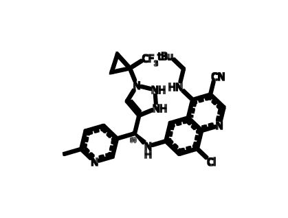 Cc1ccc([C@H](Nc2cc(Cl)c3ncc(C#N)c(NCC(C)(C)C)c3c2)C2=CN(C3(C(F)(F)F)CC3)NN2)cn1